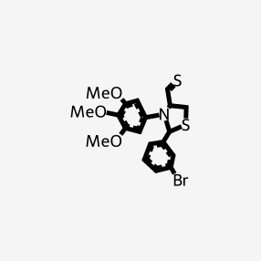 COc1cc(N2C(C=S)CSC2c2cccc(Br)c2)cc(OC)c1OC